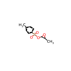 Cc1ccc(S(=O)(=O)OC2OC2C)cc1